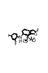 O=[N+]([O-])c1c(Nc2ccc(I)cc2F)ccc2cc(F)oc12